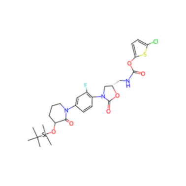 CC(C)(C)[Si](C)(C)OC1CCCN(c2ccc(N3C[C@H](CNC(=O)Oc4ccc(Cl)s4)OC3=O)c(F)c2)C1=O